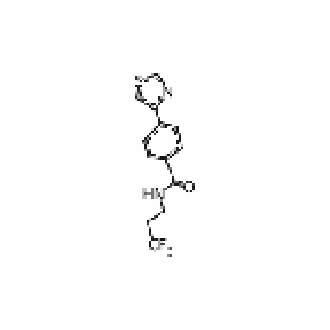 O=C(NCCC(F)(F)F)c1ccc(-c2cscn2)cc1